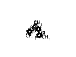 Cc1cc(F)cc(-c2ccc3c(c2)N(S(=O)(=O)c2cccc(C(F)(F)F)c2)C[C@@H](C)O3)c1Cl